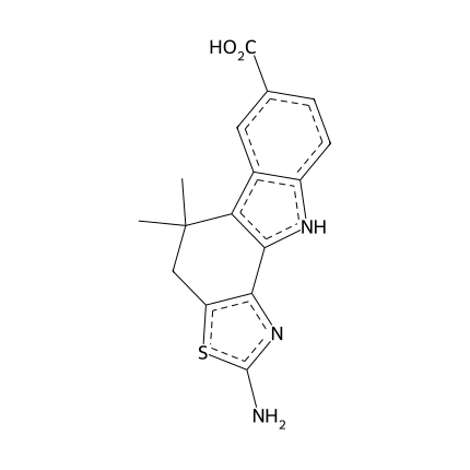 CC1(C)Cc2sc(N)nc2-c2[nH]c3ccc(C(=O)O)cc3c21